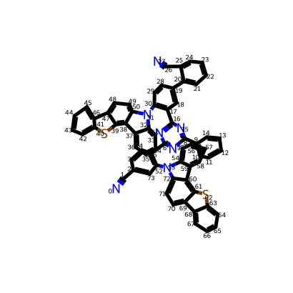 N#Cc1ccc(-c2nc(-c3ccccc3)nc(-c3cc(-c4ccccc4C#N)ccc3-n3c4ccccc4c4c5sc6ccccc6c5ccc43)n2)c(-n2c3ccccc3c3c4sc5ccccc5c4ccc32)c1